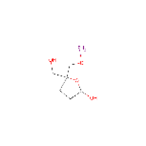 OCC1(COP)CCC(O)O1